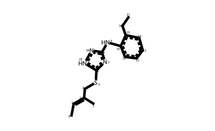 C/C=C(\C)CSc1nc(Nc2ccccc2CC)n[nH]1